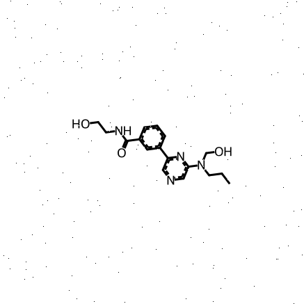 CCCN(CO)c1cncc(-c2cccc(C(=O)NCCO)c2)n1